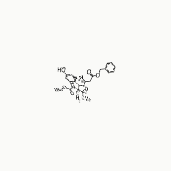 COC(=O)[C@@](C)(NC(=O)OC(C)(C)C)C(C(=O)[C@@H](N)CC(=O)OCc1ccccc1)c1ccc(O)cc1